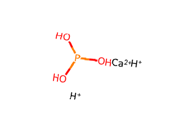 OP(O)O.[Ca+2].[H+].[H+]